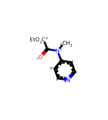 CCOC(=O)C(=O)N(C)c1ccncc1